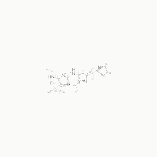 CCNc1nc(Nc2cc(C(C)(C)n3nccn3)nn2CC)ncc1C(F)(F)F